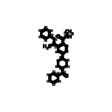 CNC(=O)c1ccc(N2CCN(C(=O)c3ccccc3)CC2)cc1N(C)Cc1ccccc1